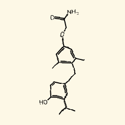 Cc1cc(OCC(N)=O)cc(C)c1Cc1ccc(O)c(C(C)C)c1